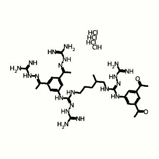 CC(=O)c1cc(NC(=NNC(=N)N)NCC(C)CCCNC(=NNC(=N)N)Nc2cc(C(C)=NNC(=N)N)cc(C(C)=NNC(=N)N)c2)cc(C(C)=O)c1.Cl.Cl.Cl.Cl